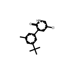 Cc1cc(-c2cc(Cl)c[nH]c2=O)cc(C(C)(C)C)c1